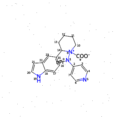 CCCN(c1ccncc1)[N+]1(C(=O)[O-])CCCCC1c1ccc2[nH]ccc2c1